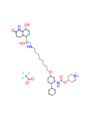 C[N+]1(C)CCC(OC(=O)Nc2cc(OCCCCCCCCNC[C@H](O)c3ccc(O)c4[nH]c(=O)ccc34)ccc2-c2ccccc2)CC1.O=C([O-])C(F)(F)F